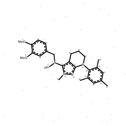 CCCN(Cc1ccc(OC)c(OC)c1)c1c2c(nn1C)N(c1c(C)cc(C)cc1C)CCC2